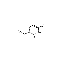 NCC1=CC=C(Cl)NN1